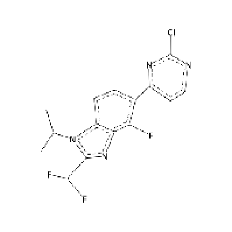 CC(C)n1c(C(F)F)nc2c(F)c(-c3ccnc(Cl)n3)ccc21